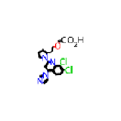 O=C(O)COCC[C@@H]1CCCN1c1cc(-n2ccnc2)c2ccc(Cl)c(Cl)c2n1